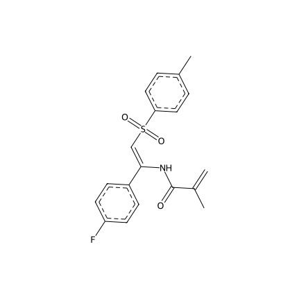 C=C(C)C(=O)N/C(=C\S(=O)(=O)c1ccc(C)cc1)c1ccc(F)cc1